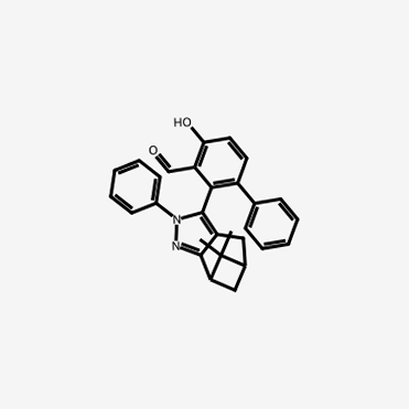 CC1(C)C2Cc3c(nn(-c4ccccc4)c3-c3c(-c4ccccc4)ccc(O)c3C=O)C1C2